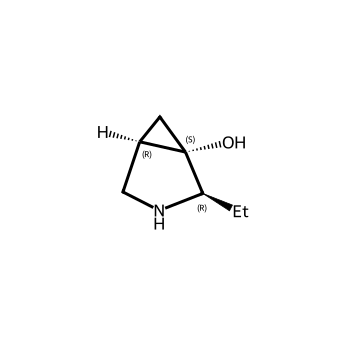 CC[C@H]1NC[C@H]2C[C@]21O